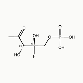 CC(=O)[C@@H](O)[C@@](O)(F)COP(=O)(O)O